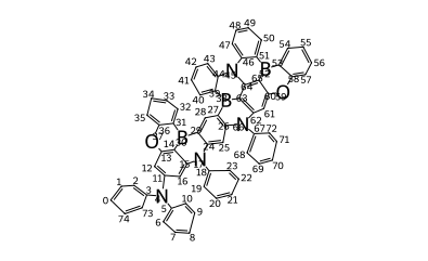 c1ccc(N(c2ccccc2)c2cc3c4c(c2)N(c2ccccc2)c2cc5c(cc2B4c2ccccc2O3)B2c3ccccc3N3c4ccccc4B4c6ccccc6Oc6cc(c2c3c64)N5c2ccccc2)cc1